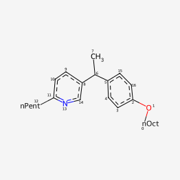 CCCCCCCCOc1ccc(C(C)c2ccc(CCCCC)nc2)cc1